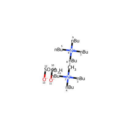 CCCC[N+](C)(CCCC)CCCC.CCCC[N+](CCCC)(CCCC)CCCC.O=S(=O)([O-])O.O=S(=O)([O-])O